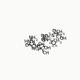 C#C[C@@]1(F)C(O)[C@@H](COP(=O)(NCc2ccccc2)OCCSC(=O)C(C)(C)CO)O[C@H]1n1cnc2c(=O)[nH]c(N)nc21